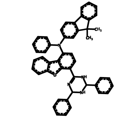 CC1(C)c2ccccc2-c2ccc(N(c3ccccc3)c3ccc(C4=NC(c5ccccc5)NC(c5ccccc5)N4)c4oc5ccccc5c34)cc21